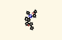 c1ccc(-c2nc(-c3ccc(-c4cccc5oc6c(-c7ccccc7)cccc6c45)c4ccccc34)nc(-c3cccc4c3oc3ccccc34)n2)cc1